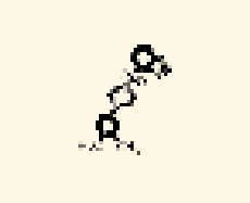 Cc1ccc(N2CCN(S(=O)(=O)c3cccc4nonc34)CC2)cc1C